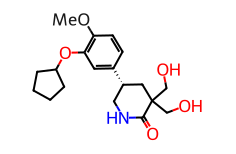 COc1ccc([C@H]2CNC(=O)C(CO)(CO)C2)cc1OC1CCCC1